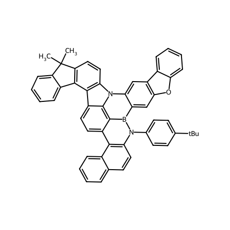 CC(C)(C)c1ccc(N2B3c4cc5oc6ccccc6c5cc4-n4c5ccc6c(c5c5ccc(c3c54)-c3c2ccc2ccccc32)-c2ccccc2C6(C)C)cc1